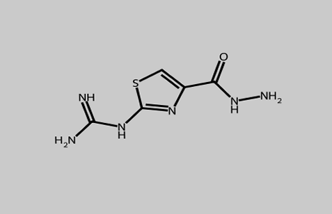 N=C(N)Nc1nc(C(=O)NN)cs1